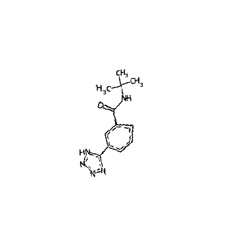 CC(C)(C)NC(=O)c1cccc(-c2nnn[nH]2)c1